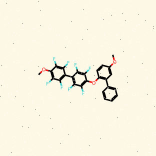 COc1ccc(Oc2c(F)c(F)c(-c3c(F)c(F)c(OC)c(F)c3F)c(F)c2F)c(-c2ccccc2)c1